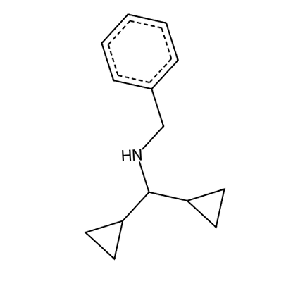 c1ccc(CNC(C2CC2)C2CC2)cc1